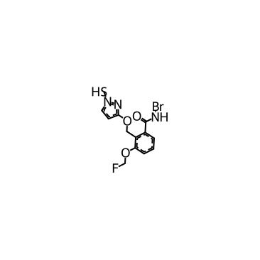 O=C(NBr)c1cccc(OCF)c1COc1ccn(S)n1